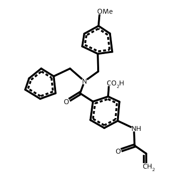 C=CC(=O)Nc1ccc(C(=O)N(Cc2ccccc2)Cc2ccc(OC)cc2)c(C(=O)O)c1